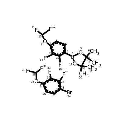 CC1(C)OB(c2ccc(OC(F)F)c(F)c2F)OC1(C)C.Fc1c(Br)ccc(OC(F)F)c1F